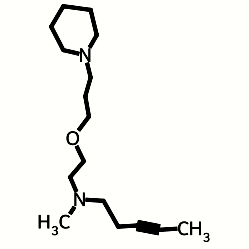 CC#CCCN(C)CCOCCCN1CCCCC1